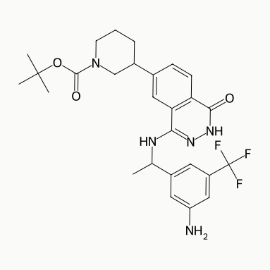 CC(Nc1n[nH]c(=O)c2ccc(C3CCCN(C(=O)OC(C)(C)C)C3)cc12)c1cc(N)cc(C(F)(F)F)c1